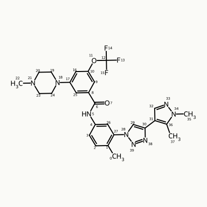 Cc1ccc(NC(=O)c2cc(OC(F)(F)F)cc(N3CCN(C)CC3)c2)cc1-n1cc(-c2cnn(C)c2C)nn1